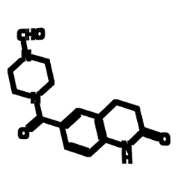 O=CN1CCN(C(=O)c2ccc3c(c2)CCC(=O)N3)CC1